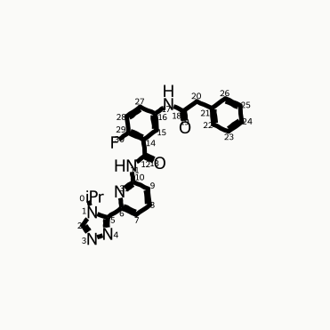 CC(C)n1cnnc1-c1cccc(NC(=O)c2cc(NC(=O)Cc3ccccc3)ccc2F)n1